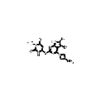 CCc1[nH]c2nc(Sc3cc(=O)n(C)c(=O)[nH]3)nc(N3CC(N)C3)c2c1Br